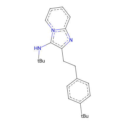 CC(C)(C)Nc1c(CCc2ccc(C(C)(C)C)cc2)nc2ccccn12